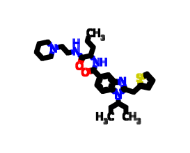 CCCC(NC(=O)c1ccc2c(c1)nc(Cc1cccs1)n2C(CC)CC)C(=O)NCCN1CCCCC1